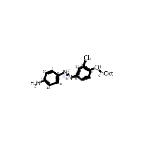 CCCCCCCCOc1ccc(/N=N/c2ccc(N)cc2)cc1Cl